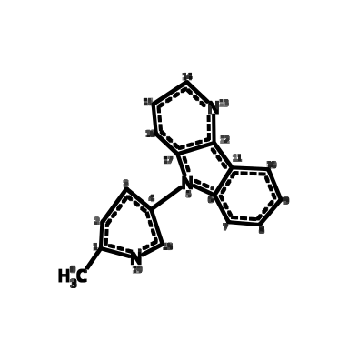 Cc1ccc(-n2c3ccccc3c3ncccc32)cn1